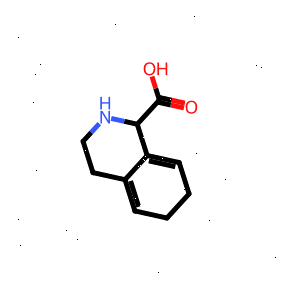 O=C(O)C1NCCC2=CCCC=C21